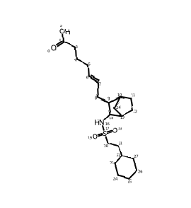 O=C(O)CCCC=CCC1C2CCC(C2)C1NS(=O)(=O)CCC1CCCCC1